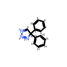 C1=NN=NC1(c1ccccc1)c1ccccc1